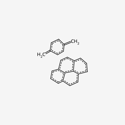 C=c1ccc(=C)cc1.c1cc2ccc3cccc4ccc(c1)c2c34